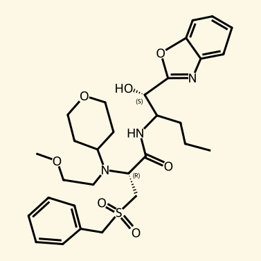 CCCC(NC(=O)[C@H](CS(=O)(=O)Cc1ccccc1)N(CCOC)C1CCOCC1)[C@H](O)c1nc2ccccc2o1